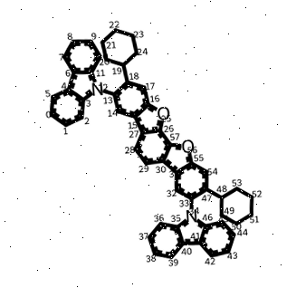 c1ccc2c(c1)c1ccccc1n2-c1cc2c(cc1C1CCCCC1)oc1c2ccc2c3cc(-n4c5ccccc5c5ccccc54)c(C4CCCCC4)cc3oc21